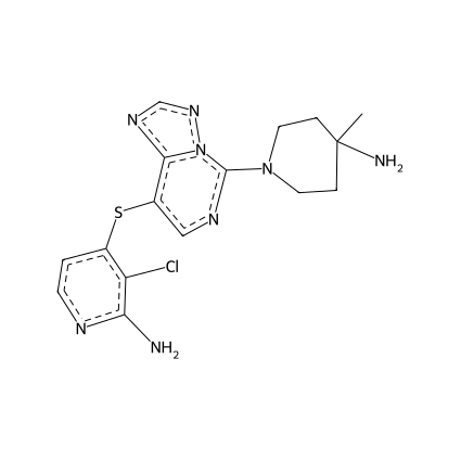 CC1(N)CCN(c2ncc(Sc3ccnc(N)c3Cl)c3ncnn23)CC1